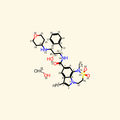 CCCc1cn2c3c(cc(C(=O)N[C@@H](Cc4ccccc4)[C@H](O)CNC4CCOCC4)cc13)N(CC)S(=O)(=O)CC2.O=CO